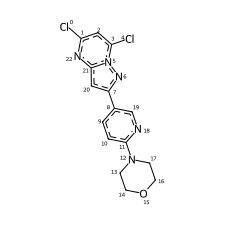 Clc1cc(Cl)n2nc(-c3ccc(N4CCOCC4)nc3)cc2n1